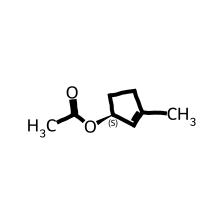 CC(=O)O[C@@H]1C=C(C)CC1